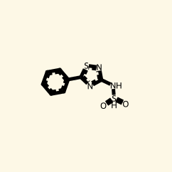 O=[SH](=O)Nc1nsc(-c2ccccc2)n1